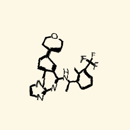 Cc1c(C(C)Nc2nc3nccn3c3ccc(C4=CCOCC4)cc23)cccc1C(F)(F)F